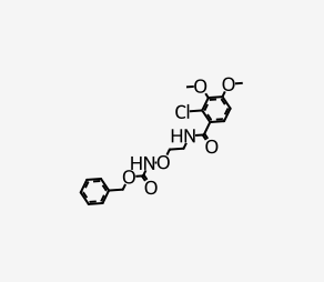 COc1ccc(C(=O)NCCONC(=O)OCc2ccccc2)c(Cl)c1OC